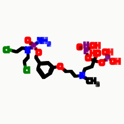 CN(CCCOc1cccc(COP(N)(=O)N(CCCl)CCCl)c1)CCC(O)(OP(O)O)O[PH](=O)O